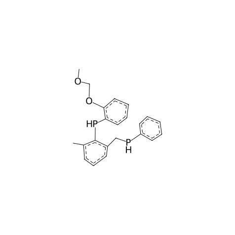 COCOc1ccccc1Pc1c(C)cccc1CPc1ccccc1